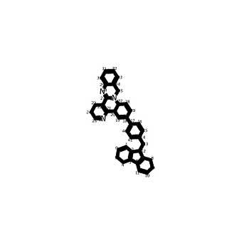 C1=CC2=C(CC1)C1=C(CCC=C1)C2Cc1ccc(C2=CC3C4=C(CCC=N4)C4=Nc5ccccc5CN4C3C=C2)cc1